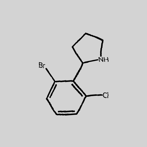 Clc1cccc(Br)c1C1CCCN1